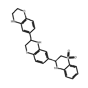 O=S1(=O)CC(c2ccc3c(c2)NC(c2ccc4c(c2)NCCO4)CS3)Nc2ccccc21